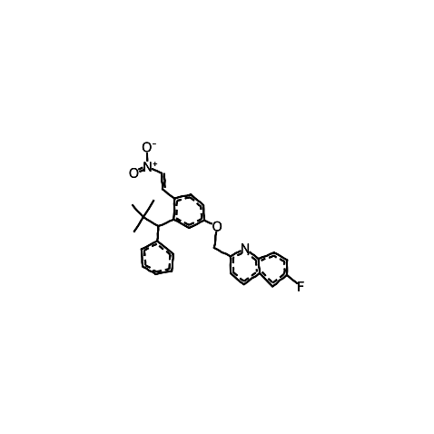 CC(C)(C)C(c1ccccc1)c1cc(OCc2ccc3cc(F)ccc3n2)ccc1C=C[N+](=O)[O-]